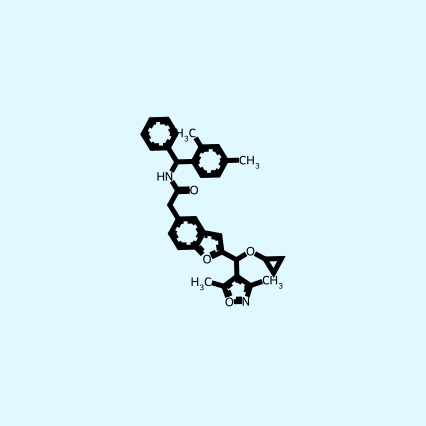 Cc1ccc(C(NC(=O)Cc2ccc3oc(C(OC4CC4)c4c(C)noc4C)cc3c2)c2ccccc2)c(C)c1